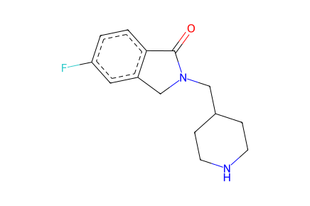 O=C1c2ccc(F)cc2CN1CC1CCNCC1